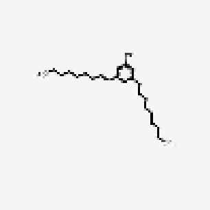 CCCCCCCCCc1cc(O)cc(CCCCCCCCC)c1